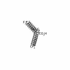 O=C(O)CC(C(=O)O)=C(C(F)(F)C(F)(F)C(F)(F)C(F)(F)C(F)(F)C(F)(F)C(F)(F)C(F)(F)F)C(F)(F)C(F)(F)C(F)(F)C(F)(F)C(F)(F)C(F)(F)C(F)(F)C(F)(F)F